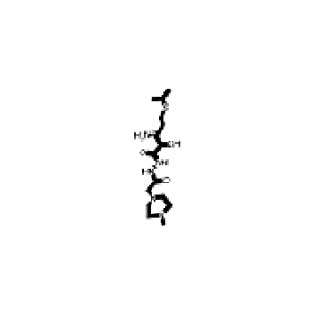 CC(C)SCC[C@@H](N)C(O)C(=O)NNC(=O)CN1CCN(C)CC1